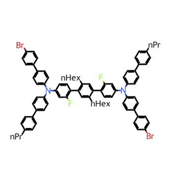 CCCCCCc1cc(-c2ccc(N(c3ccc(-c4ccc(Br)cc4)cc3)c3ccc(-c4ccc(CCC)cc4)cc3)cc2F)c(CCCCCC)cc1-c1ccc(N(c2ccc(-c3ccc(Br)cc3)cc2)c2ccc(-c3ccc(CCC)cc3)cc2)cc1F